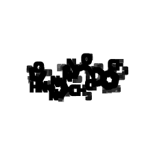 Cc1cnc(N[C@H]2CCOC2)nc1-n1cnc(C(=O)NCc2c(Cl)cccc2C(F)(F)F)c1